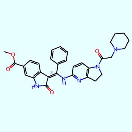 COC(=O)c1ccc2c(c1)NC(=O)/C2=C(\Nc1ccc2c(n1)CCN2C(=O)CN1CCCCC1)c1ccccc1